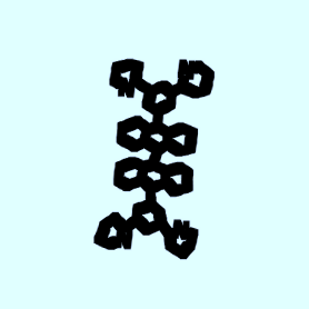 c1ccc(-c2cc(-c3ccccn3)cc(-c3c4ccccc4c(-c4c5ccccc5c(-c5cc(-c6ccccn6)cc(-c6ccccn6)c5)c5ccccc45)c4ccccc34)c2)nc1